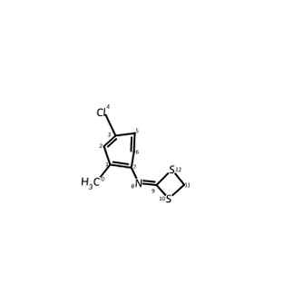 Cc1cc(Cl)ccc1N=C1SCS1